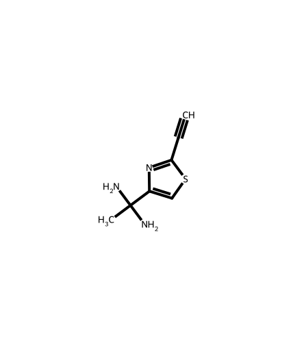 C#Cc1nc(C(C)(N)N)cs1